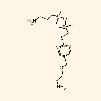 C[Si](C)(CCCN)O[Si](C)(C)CSc1ncc(COCCN)cn1